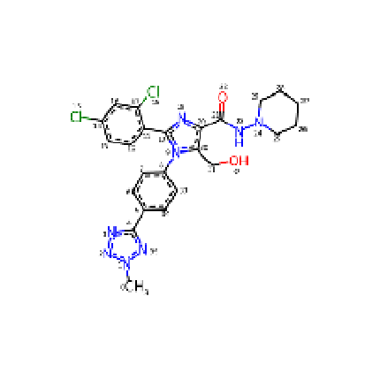 Cn1nnc(-c2ccc(-n3c(-c4ccc(Cl)cc4Cl)nc(C(=O)NN4CCCCC4)c3CO)cc2)n1